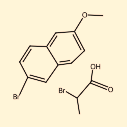 CC(Br)C(=O)O.COc1ccc2cc(Br)ccc2c1